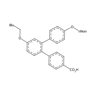 CCCCCCCCCOc1ccc(-c2cc(OCC(C)CC)ccc2-c2ccc(C(=O)O)cc2)cc1